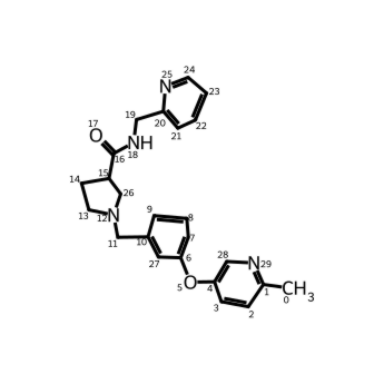 Cc1ccc(Oc2cccc(CN3CCC(C(=O)NCc4ccccn4)C3)c2)cn1